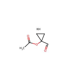 CC(=O)OC1(C=O)CC1.[KH]